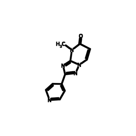 Cn1c(=O)ccn2nc(-c3ccncc3)nc12